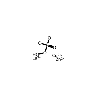 O=P([O-])([O-])OO.[Cu+2].[La+3].[Zn+2]